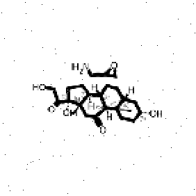 C[C@]12CC[C@@H](O)C[C@H]1CC[C@@H]1[C@@H]2C(=O)C[C@@]2(C)[C@H]1CC[C@]2(O)C(=O)CO.NCC1CO1